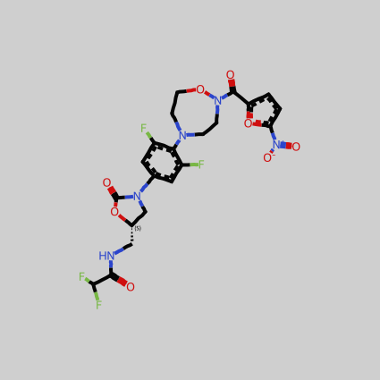 O=C(NC[C@H]1CN(c2cc(F)c(N3CCON(C(=O)c4ccc([N+](=O)[O-])o4)CC3)c(F)c2)C(=O)O1)C(F)F